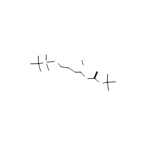 CC(C)(C)OC(=O)N[C@@H](CO)CCCO[Si](C)(C)C(C)(C)C